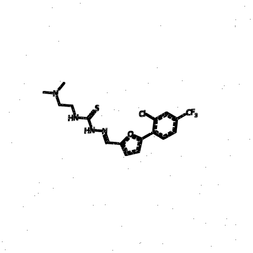 CN(C)CCNC(=S)NN=Cc1ccc(-c2ccc(C(F)(F)F)cc2Cl)o1